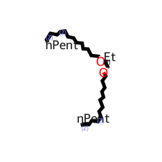 [CH2]C[C@H](COCCCCCCCC/C=C\C/C=C\CCCCC)OCCCCCCCC/C=C\C/C=C\CCCCC